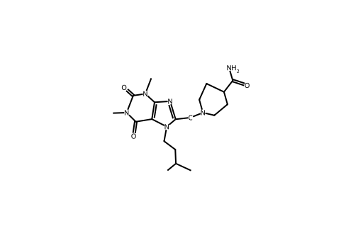 CC(C)CCn1c(CN2CCC(C(N)=O)CC2)nc2c1c(=O)n(C)c(=O)n2C